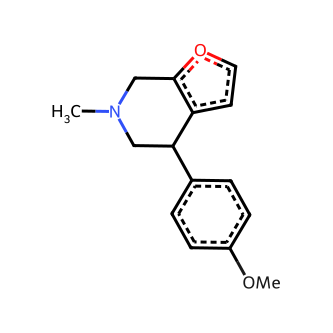 COc1ccc(C2CN(C)Cc3occc32)cc1